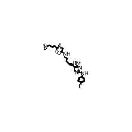 CNc1nc(Nc2ccc(F)cc2)ncc1C#CCCCNC(=O)CN(C)C(=O)/C=C/CN(C)C